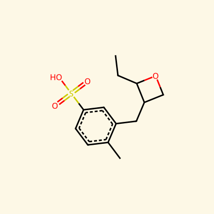 CCC1OCC1Cc1cc(S(=O)(=O)O)ccc1C